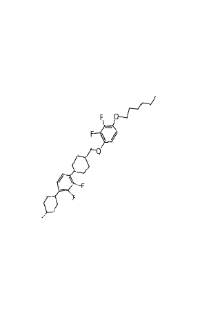 CCCCCCOc1ccc(OCC2CCC(c3ccc(C4CCC(C)CC4)c(F)c3F)CC2)c(F)c1F